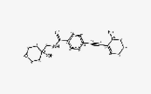 O=C(NCC1(O)CCOCC1)c1ccc(C#CC2=CCCCC2F)cc1